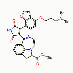 CCN(CC)CCCOc1ccc(C2=C(C3=NC=CN4c5c(cccc53)CC4C(=O)OC(C)(C)C)C(=O)NC2=O)c2occc12